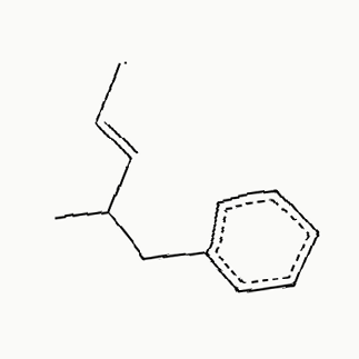 [CH2]C=CC(C)Cc1ccccc1